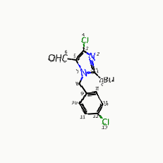 CCCCc1nc(Cl)c(C=O)n1Cc1ccc(Cl)cc1